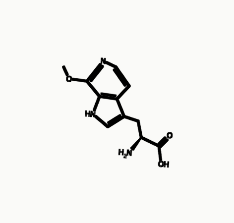 COc1nccc2c(C[C@H](N)C(=O)O)c[nH]c12